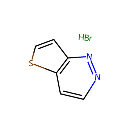 Br.c1cc2sccc2nn1